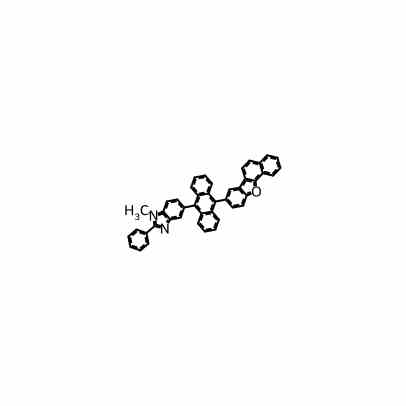 Cn1c(-c2ccccc2)nc2cc(-c3c4ccccc4c(-c4ccc5oc6c7ccccc7ccc6c5c4)c4ccccc34)ccc21